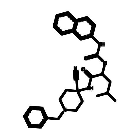 CC(C)CC(OC(=O)Nc1ccc2ccccc2c1)C(=O)NC1(C#N)CCN(Cc2ccccc2)CC1